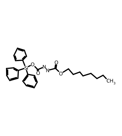 CCCCCCCCOC(=O)N=NC(=O)O[Si](c1ccccc1)(c1ccccc1)c1ccccc1